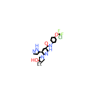 CCC1(O)CCN(c2ncc(C(=O)Nc3ccc(OC(F)(F)Cl)cc3)cc2-c2ccn[nH]2)C1